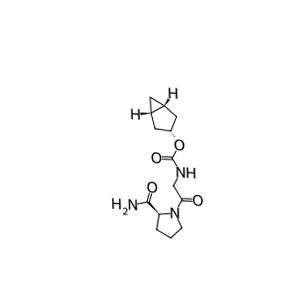 NC(=O)[C@@H]1CCCN1C(=O)CNC(=O)O[C@@H]1C[C@@H]2C[C@@H]2C1